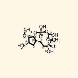 B[C@@H]1C[C@H](CCP(=O)(O)OC)[C@@H](OP(=O)(O)O[C@H](C)S)[C@H]1OC